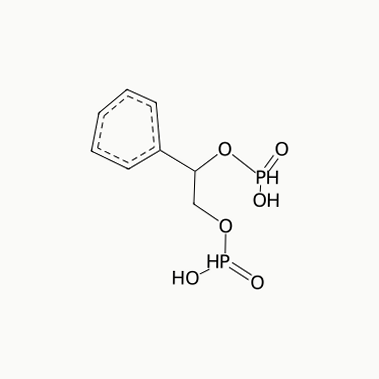 O=[PH](O)OCC(O[PH](=O)O)c1ccccc1